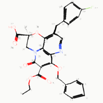 CCOC(=O)c1c(OCc2ccccc2)c2ncc(Cc3ccc(F)cc3)c3c2n(c1=O)C[C@@](C)(C(=O)O)O3